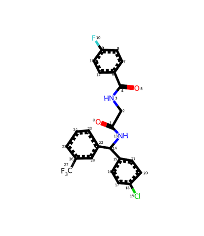 O=C(CNC(=O)c1ccc(F)cc1)NC(c1ccc(Cl)cc1)c1cccc(C(F)(F)F)c1